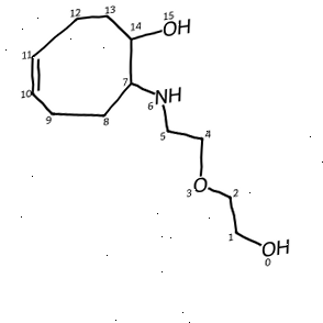 OCCOCCNC1CC/C=C\CCC1O